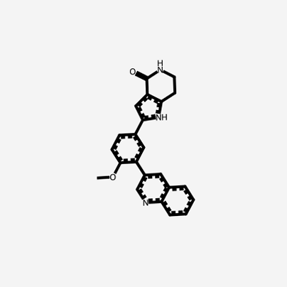 COc1ccc(-c2cc3c([nH]2)CCNC3=O)cc1-c1cnc2ccccc2c1